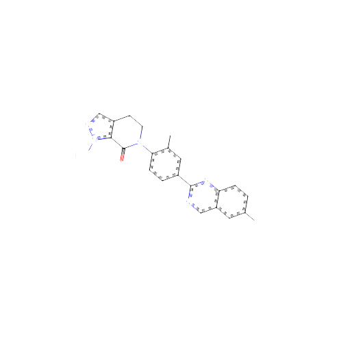 Cc1cc(-c2ncc3cc(C(F)(F)F)ccc3n2)ccc1N1CCc2cnn(C)c2C1=O